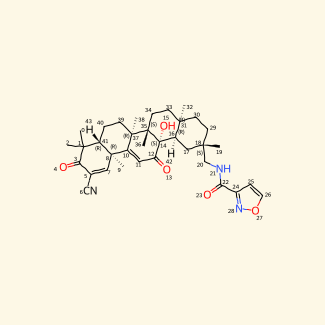 CC1(C)C(=O)C(C#N)=C[C@]2(C)C3=CC(=O)[C@]4(O)[C@@H]5C[C@@](C)(CNC(=O)c6ccon6)CC[C@]5(C)CC[C@@]4(C)[C@]3(C)CC[C@@H]12